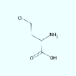 NC(CCCl)C(=O)O